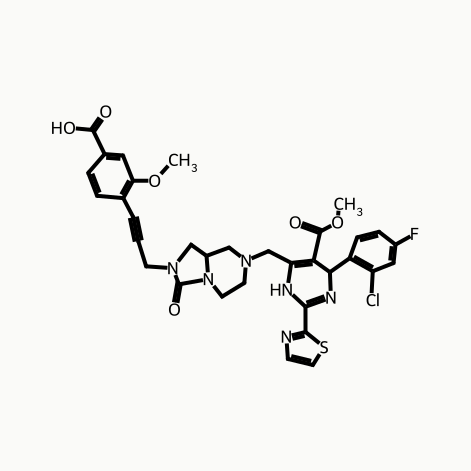 COC(=O)C1=C(CN2CCN3C(=O)N(CC#Cc4ccc(C(=O)O)cc4OC)CC3C2)NC(c2nccs2)=NC1c1ccc(F)cc1Cl